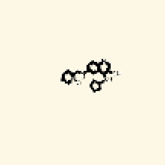 N#Cc1cnc2ccc(NCc3cccc[n+]3[O-])cc2c1NC1CCCC1